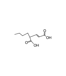 CCCCC(C=CC(=O)O)C(=O)O